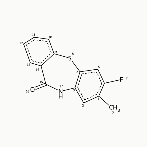 Cc1cc2c(cc1F)Sc1ccccc1C(=O)N2